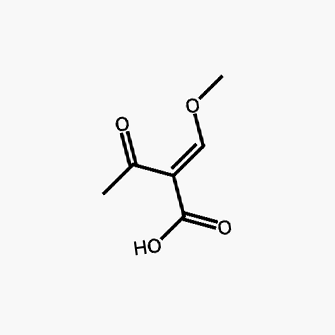 CO/C=C(\C(C)=O)C(=O)O